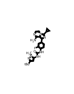 Cn1nc(C(C)(C)C)cc1NC(=O)Nc1ccc(-c2nc(C3CC3)n3ccnc(N)c23)cc1F